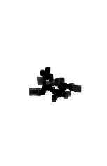 CC1(C)CNCC(CO)N1.O=C(O)C(F)(F)F